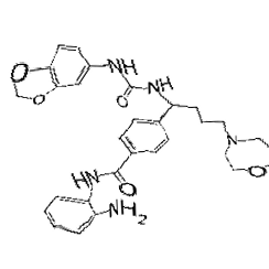 Nc1ccccc1NC(=O)c1ccc(C(CCCN2CCOCC2)NC(=O)Nc2ccc3c(c2)OCO3)cc1